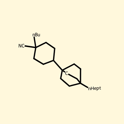 CCCCCCCC12CCC(C3CCC(C#N)(CCCC)CC3)(CC1)CC2